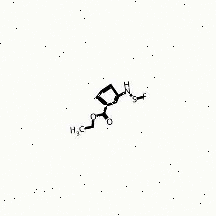 CCOC(=O)c1cccc(NSF)c1